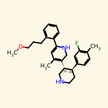 COCCCc1ccccc1C1=CC(C)=C([C@H]2CNCC[C@@H]2c2ccc(C)c(F)c2)CN1